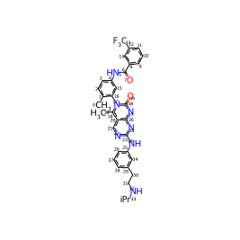 Cc1ccc(NC(=O)c2cccc(C(F)(F)F)c2)cc1-n1c(C)c2cnc(Nc3cccc(CCNC(C)C)c3)nc2nc1=O